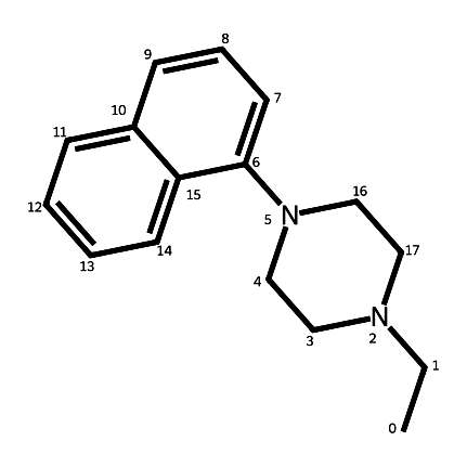 C[CH]N1CCN(c2cccc3ccccc23)CC1